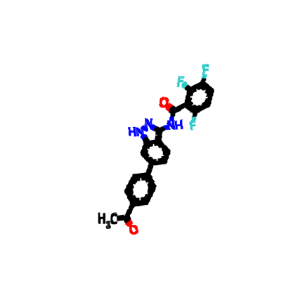 CC(=O)c1ccc(-c2ccc3c(NC(=O)c4c(F)ccc(F)c4F)n[nH]c3c2)cc1